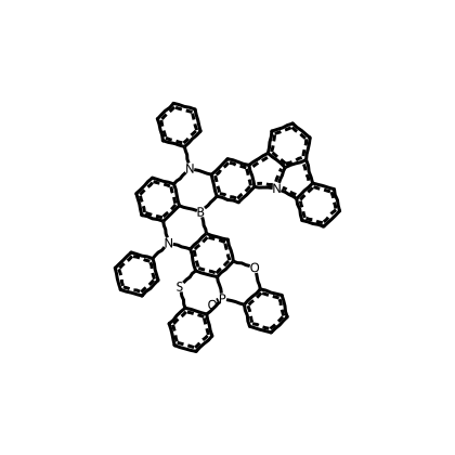 O=P12c3ccccc3Oc3cc4c(c(c31)Sc1ccccc12)N(c1ccccc1)c1cccc2c1B4c1cc3c(cc1N2c1ccccc1)c1cccc2c4ccccc4n3c21